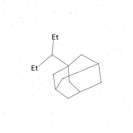 CC[C](CC)C12CC3CC(CC(C3)C1)C2